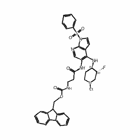 CCN1CC[C@@H](Nc2c(NC(=O)CCNC(=O)OCC3c4ccccc4-c4ccccc43)cnc3c2ccn3S(=O)(=O)c2ccccc2)[C@H](F)C1